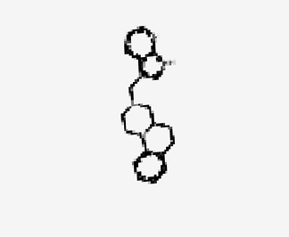 c1ccc2c(c1)CCC1CN(Cc3c[nH]c4ncccc34)CCN21